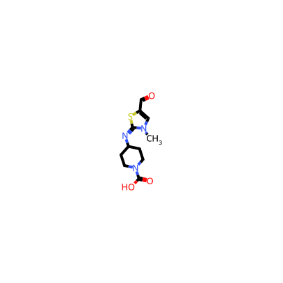 Cn1cc(C=O)sc1=NC1CCN(C(=O)O)CC1